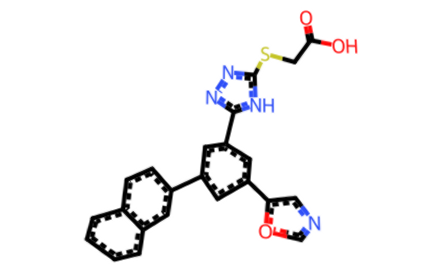 O=C(O)CSc1nnc(-c2cc(-c3ccc4ccccc4c3)cc(-c3cnco3)c2)[nH]1